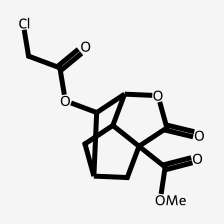 COC(=O)C12CC3CC1C(OC2=O)C3OC(=O)CCl